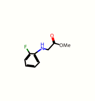 COC(=O)CNc1ccccc1F